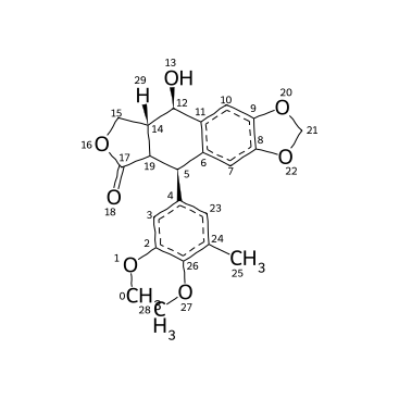 COc1cc([C@@H]2c3cc4c(cc3[C@H](O)[C@H]3COC(=O)C23)OCO4)cc(C)c1OC